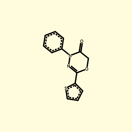 O=C1COC(c2cccs2)=NN1c1ccccc1